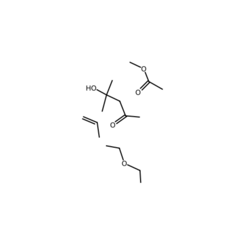 C=CC.CC(=O)CC(C)(C)O.CCOCC.COC(C)=O